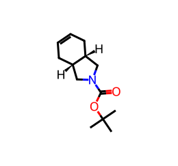 CC(C)(C)OC(=O)N1C[C@H]2CC=CC[C@H]2C1